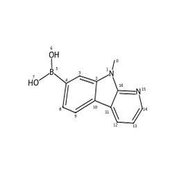 Cn1c2cc(B(O)O)ccc2c2cccnc21